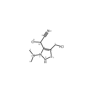 CN(C)N1NSC(CCl)=C1C(Cl)C#N